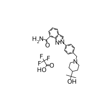 CC(C)(O)C1CCN(Cc2ccc(-n3cc4cccc(C(N)=O)c4n3)cc2)CC1.O=C(O)C(F)(F)F